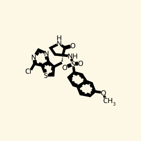 COc1ccc2ccc(S(=O)(=O)N[C@@]3(Cc4csc5c(Cl)ncnc45)CCNC3=O)cc2c1